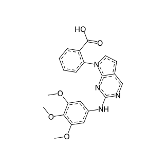 COc1cc(Nc2ncc3ccn(-c4ccccc4C(=O)O)c3n2)cc(OC)c1OC